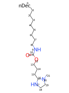 CCCCCCCCCCCCCCCCCCNC(=O)OCCCC1NCCN1C